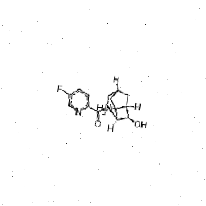 NC12C[C@H]3C[C@@H]1[C@@H](O)[C@H]2N(C(=O)c1ccc(F)cn1)C3